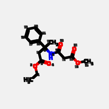 CCOC(=O)CC(C)(NC(=O)CC(=O)OC)c1ccccc1